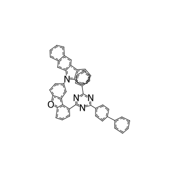 c1ccc(-c2ccc(-c3nc(-c4ccccc4)nc(-c4cccc5oc6ccc(-n7c8ccccc8c8cc9ccccc9cc87)cc6c45)n3)cc2)cc1